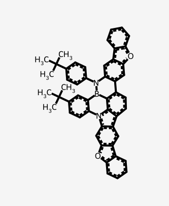 CC(C)(C)c1ccc(N2B3c4cc(C(C)(C)C)ccc4-n4c5cc6oc7ccccc7c6cc5c5ccc(c3c54)-c3cc4oc5ccccc5c4cc32)cc1